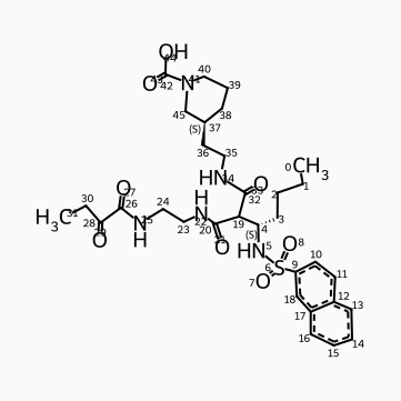 CCCC[C@H](NS(=O)(=O)c1ccc2ccccc2c1)C(C(=O)NCCNC(=O)C(=O)CC)C(=O)NCC[C@@H]1CCCN(C(=O)O)C1